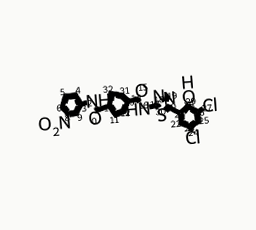 O=C(Nc1cccc([N+](=O)[O-])c1)c1ccc(C(=O)Nc2nnc(-c3cc(Cl)cc(Cl)c3O)s2)cc1